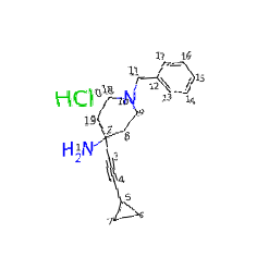 Cl.NC1(C#CC2CC2)CCN(Cc2ccccc2)CC1